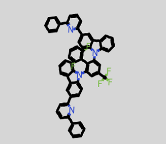 Fc1cccc(F)c1-c1c(-n2c3ccccc3c3cc(-c4cccc(-c5ccccc5)n4)ccc32)cc(C(F)(F)F)cc1-n1c2ccccc2c2cc(-c3cccc(-c4ccccc4)n3)ccc21